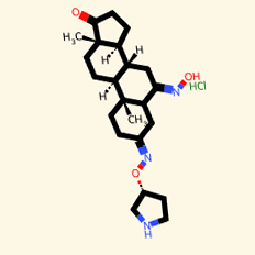 C[C@]12CCC(=NO[C@@H]3CCNC3)CC1/C(=N/O)C[C@@H]1[C@@H]2CC[C@]2(C)C(=O)CC[C@@H]12.Cl